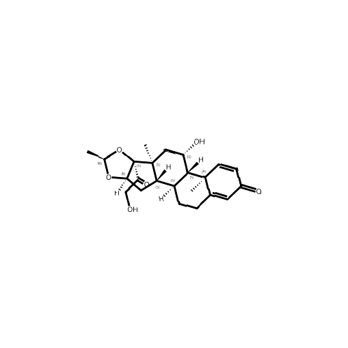 C[C@@H]1O[C@@H]2C[C@H]3[C@@H]4CCC5=CC(=O)C=C[C@]5(C)[C@H]4[C@@H](O)C[C@]3(C)[C@]2(C(=O)CO)O1